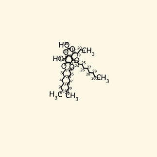 CCCCCCCCOc1c(O)c(OC(=O)O)c(CCCC)c(OCCCCCCCC)c1OCCCCCCCC